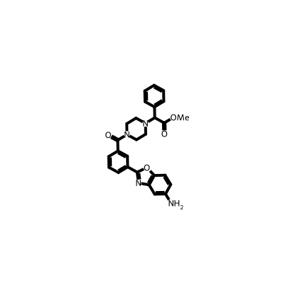 COC(=O)C(c1ccccc1)N1CCN(C(=O)c2cccc(-c3nc4cc(N)ccc4o3)c2)CC1